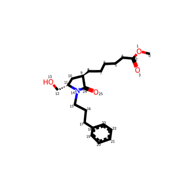 COC(=O)CCCCC[C@@H]1C[C@@H](CO)N(CCCc2ccccc2)C1=O